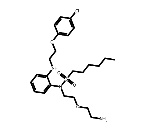 CCCCCCS(=O)(=O)N(CCOCCN)c1ccccc1NCCOc1ccc(Cl)cc1